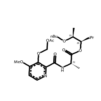 CCCCO[C@@H](C)[C@H](OC(=O)[C@H](C)NC(=O)c1nccc(OC)c1OCOC(C)=O)C(C)C